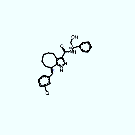 O=C(N[C@@H](CO)c1ccccc1)c1n[nH]c2c1CCCCC/C2=C\c1cccc(Cl)c1